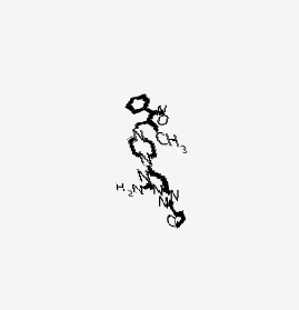 Cc1onc(-c2ccccc2)c1CN1CCN(c2cc3nc(-c4ccco4)nn3c(N)n2)CC1